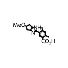 COC1Cc2nc(-c3cc(C(=O)O)c(C)cc3C)[nH]c2C1